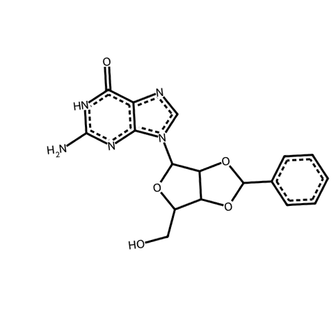 Nc1nc2c(ncn2C2OC(CO)C3OC(c4ccccc4)OC32)c(=O)[nH]1